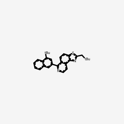 CC(C)(C)Cc1nc2c(ccc3c(-c4cc(C(C)(C)C)c5ccccc5c4)nccc32)s1